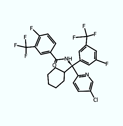 O=C(N[C@@](c1cc(F)cc(C(F)(F)F)c1)(c1ccc(Cl)cn1)C1CCCCC1)c1ccc(F)c(C(F)(F)F)c1